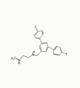 CNCCNCc1cc(-c2ccc(F)cc2)cc(-c2ccc(F)cc2)c1